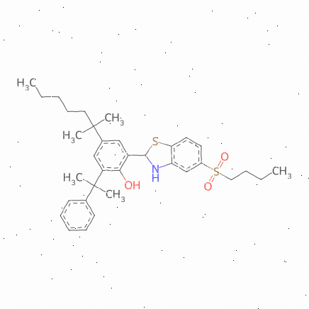 CCCCCC(C)(C)c1cc(C2Nc3cc(S(=O)(=O)CCCC)ccc3S2)c(O)c(C(C)(C)c2ccccc2)c1